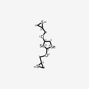 C(OC1C[Se]C(OCC2CS2)[Se]1)C1CS1